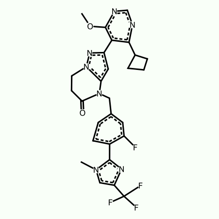 COc1ncnc(C2CCC2)c1-c1cc2n(n1)CCC(=O)N2Cc1ccc(-c2nc(C(F)(F)F)cn2C)c(F)c1